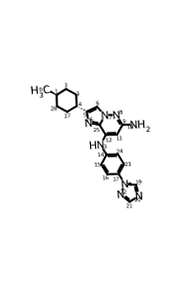 C[C@H]1CC[C@H](c2cn3nc(N)cc(Nc4ccc(-n5cncn5)cc4)c3n2)CC1